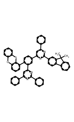 CC1(C)c2ccccc2-c2ccc(-c3nc(-c4ccccc4)cc(-c4ccc(-c5cccc6c5Sc5ccccc5O6)c(-c5cc(-c6ccccc6)nc(-c6ccccc6)n5)c4)n3)cc21